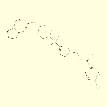 O=C(NCc1ccc(S(=O)(=O)N2CCC(Nc3ccc4c(c3)CCC4)CC2)s1)c1ccc(Cl)cc1